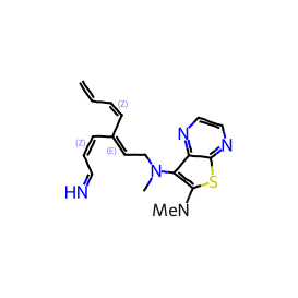 C=C\C=C/C(/C=C\C=N)=C\CN(C)c1c(NC)sc2nccnc12